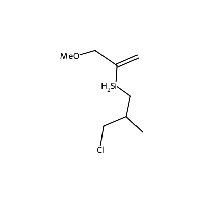 C=C(COC)[SiH2]CC(C)CCl